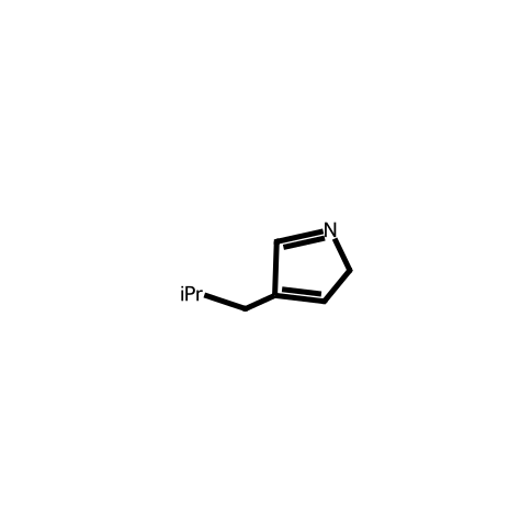 CC(C)CC1=CCN=C1